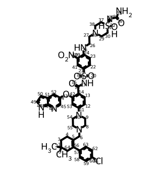 CC1(C)CCC(CN2CCN(c3ccc(C(=O)NS(=O)(=O)c4ccc(NCCN5CC[SH](O)(=NC(N)=O)CC5)c([N+](=O)[O-])c4)c(Oc4cnc5[nH]ccc5c4)c3)CC2)=C(c2ccc(Cl)cc2)C1